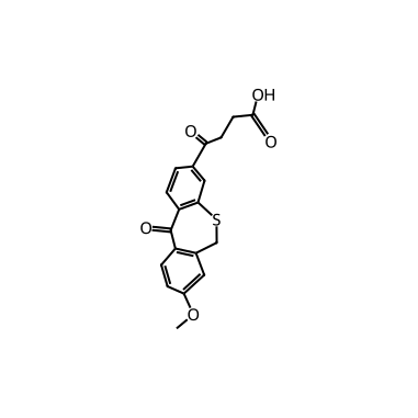 COc1ccc2c(c1)CSc1cc(C(=O)CCC(=O)O)ccc1C2=O